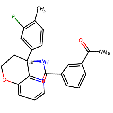 CNC(=O)c1cccc(C(=O)N[C@]2(c3ccc(C)c(F)c3)CCOc3cccnc32)c1